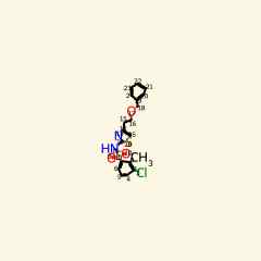 Cc1c(Cl)cccc1S(=O)(=O)Nc1nc(CCOCc2ccccc2)cs1